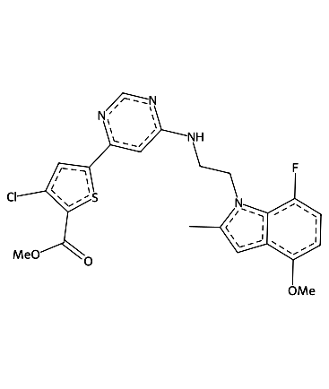 COC(=O)c1sc(-c2cc(NCCn3c(C)cc4c(OC)ccc(F)c43)ncn2)cc1Cl